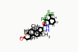 C[C@H]1C[C@H]2SC(=O)C=C[C@]2(C)[C@H]2CC[C@]3(C)C[C@@H](C(=O)Nc4cccc(C(F)(F)F)c4C(F)(F)F)C[C@H]3[C@H]12